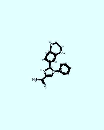 NC(=O)C1=CN(c2ccccc2)C(c2ccc3c(c2)OCCO3)S1